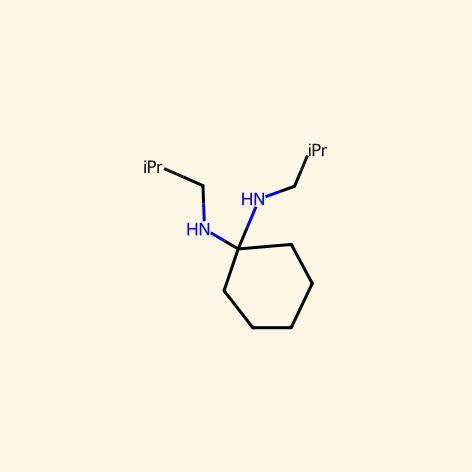 CC(C)CNC1(NCC(C)C)CCCCC1